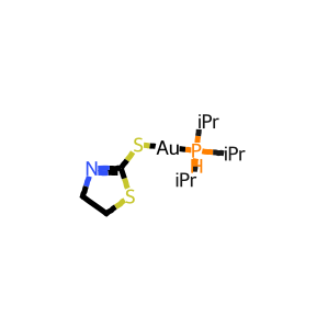 CC(C)[PH]([Au][S]C1=NCCS1)(C(C)C)C(C)C